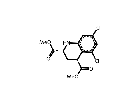 COC(=O)[C@H]1C[C@H](C(=O)OC)Nc2cc(Cl)cc(Cl)c21